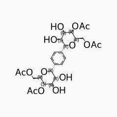 CC(=O)OC[C@H]1O[C@H](c2ccc([C@H]3O[C@H](COC(C)=O)[C@@H](OC(C)=O)[C@H](O)[C@H]3O)cc2)[C@@H](O)[C@@H](O)[C@H]1OC(C)=O